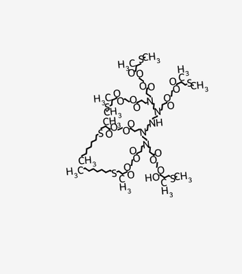 CCCCCCCCSCC(C)C(=O)OCCOC(=O)CCN(CCNCCN(CCC(=O)OCCOC(=O)C(C)CSC)CCN(CCC(=O)OCCOC(=O)C(C)CSC)CCC(=O)OCCOC(=O)C(C)CSC)CCN(CCC(=O)OCCOC(=O)C(C)CSCCCCCCCC)CCC(=O)OCCOC(O)C(C)CSC